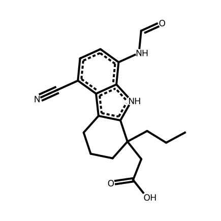 CCCC1(CC(=O)O)CCCc2c1[nH]c1c(NC=O)ccc(C#N)c21